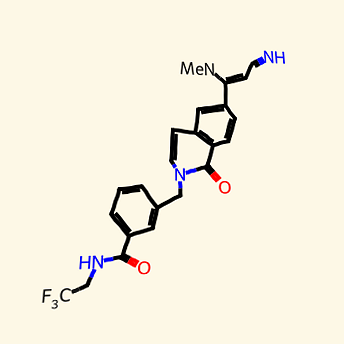 CN/C(=C\C=N)c1ccc2c(=O)n(Cc3cccc(C(=O)NCC(F)(F)F)c3)ccc2c1